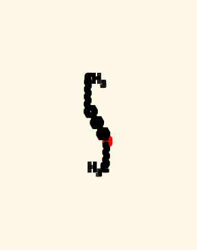 CCCCCCCCC1CCC(c2ccc(-c3ccc(OCCCCCCC)cc3)cc2)CC1